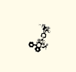 Nc1cn(C2CCN(C(=O)N[C@@H]3N=C(c4ccccc4)c4ccccc4N(CC(F)(F)F)C3=O)CC2)c(=O)[nH]1